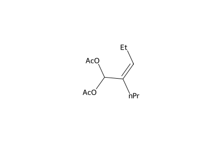 CCC=C(CCC)C(OC(C)=O)OC(C)=O